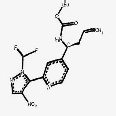 C=CC[C@H](NC(=O)OC(C)(C)C)c1ccnc(-c2c([N+](=O)[O-])cnn2C(F)F)c1